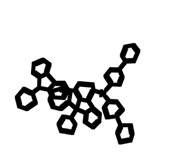 C1#CC(C2(C3C=CC=CC3)c3ccccc3-c3c(N(c4ccc(-c5ccccc5)cc4)c4ccc(-c5ccccc5)cc4)ccc(-c4ccc5c(c4)-c4ccccc4C5c4ccccc4)c32)=CC=CC1